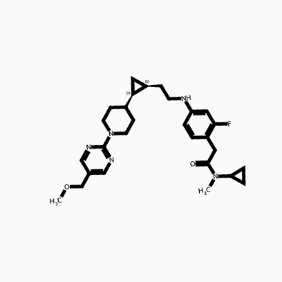 COCc1cnc(N2CCC([C@H]3C[C@H]3CCNc3ccc(CC(=O)N(C)C4CC4)c(F)c3)CC2)nc1